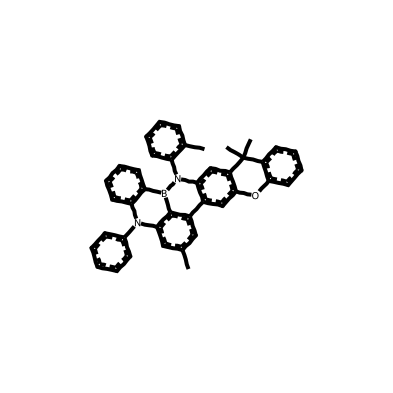 Cc1cc2c3c(c1)N(c1ccccc1)c1ccccc1B3N(c1ccccc1C)c1cc3c(cc1-2)Oc1ccccc1C3(C)C